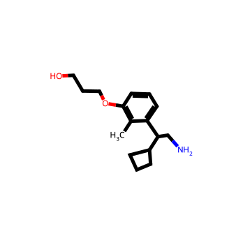 Cc1c(OCCCO)cccc1C(CN)C1CCC1